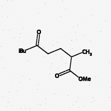 CCC(C)C(=O)CCC(C)C(=O)OC